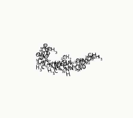 C=CC(=O)Nc1cc(Nc2nc(-c3ccnc(N4CCn5c(cc6c5CC(C)(C)C6)C4=O)c3CO)cnc2OC)ccc1N1CCN(C2CCN(c3cccc4c3C(=O)N(C3CCC(=O)N(C)C3=O)C4=O)[C@@H](C)C2)C[C@@H]1C